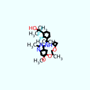 COc1cc2nc(C)nc(NC(C)(C)c3cccc(C(F)(F)C(C)(C)O)c3F)c2cc1OC(C)COC1CCC1